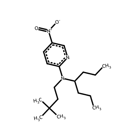 CCCC(CCC)N(CCC(C)(C)C)c1ccc([N+](=O)[O-])cn1